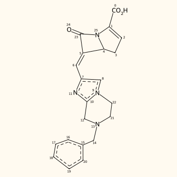 O=C(O)C1=CCC2/C(=C\c3cn4c(n3)CN(Cc3ccccc3)CC4)C(=O)N12